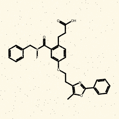 Cc1oc(-c2ccccc2)nc1CCOc1ccc(CCC(=O)O)c(C(=O)N(F)Cc2ccccc2)c1